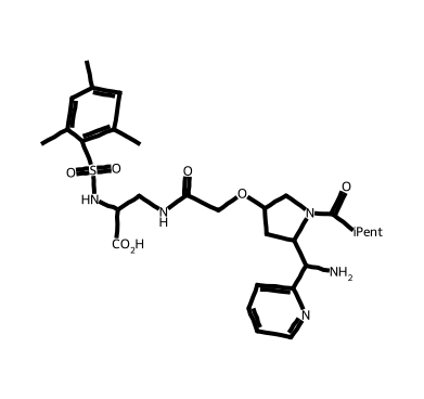 CCCC(C)C(=O)N1CC(OCC(=O)NCC(NS(=O)(=O)c2c(C)cc(C)cc2C)C(=O)O)CC1C(N)c1ccccn1